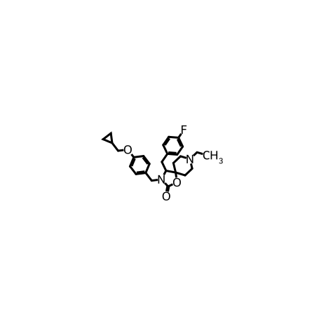 CCN1CCC2(CC1)OC(=O)N(Cc1ccc(OCC3CC3)cc1)C2Cc1ccc(F)cc1